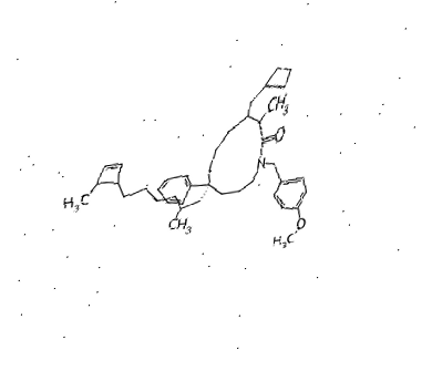 COc1ccc(CN2CCC[C@@](CC(C)CCCCC3C=CC3C)(c3ccccc3)CCCC(CC3CCC3)C(C)C2=O)cc1